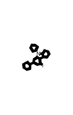 Ic1cc(-c2ccccc2)cc2c1c1ccccc1n2-c1ccccc1